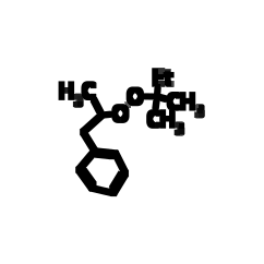 CCC(C)(C)OOC(C)Cc1ccccc1